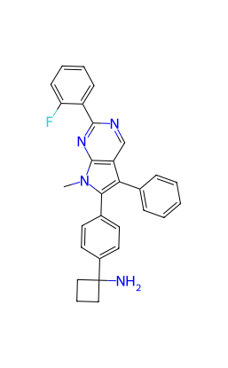 Cn1c(-c2ccc(C3(N)CCC3)cc2)c(-c2ccccc2)c2cnc(-c3ccccc3F)nc21